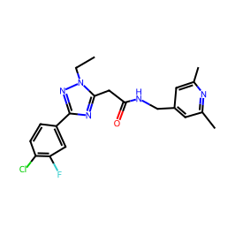 CCn1nc(-c2ccc(Cl)c(F)c2)nc1CC(=O)NCc1cc(C)nc(C)c1